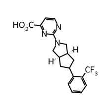 O=C(O)c1ccnc(N2C[C@H]3CC(c4ccccc4C(F)(F)F)C[C@H]3C2)n1